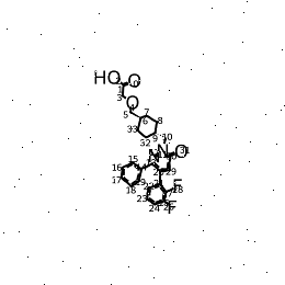 O=C(O)COC[C@H]1CC[C@H](Cn2nc(-c3ccccc3)c(-c3cccc(F)c3F)cc2=O)CC1